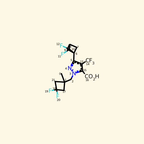 CC1(Cn2nc(C34CC(C3)C4(F)F)c(C(F)(F)F)c2C(=O)O)CC(F)(F)C1